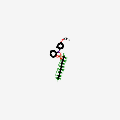 COc1ccc([I+](OS(=O)(=O)C(F)(F)C(F)(F)C(F)(F)C(F)(F)C(F)(F)C(F)(F)C(F)(F)C(F)(F)F)c2ccccc2)cc1